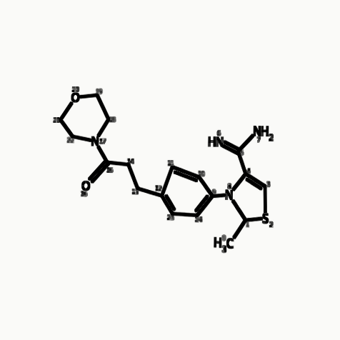 CC1SC=C(C(=N)N)N1c1ccc(CCC(=O)N2CCOCC2)cc1